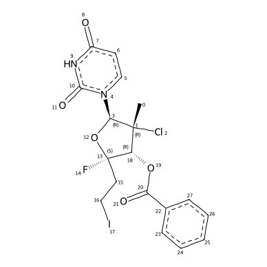 C[C@]1(Cl)[C@H](n2ccc(=O)[nH]c2=O)O[C@](F)(CCI)[C@H]1OC(=O)c1ccccc1